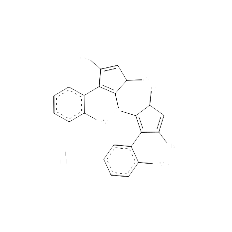 COc1ccccc1C1=[C]([Zr][C]2=C(c3ccccc3OC)C(C(C)(C)C)=CC2C(C)(C)C)C(C(C)(C)C)C=C1C(C)(C)C.Cl.Cl